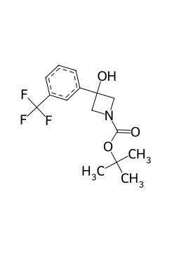 CC(C)(C)OC(=O)N1CC(O)(c2cccc(C(F)(F)F)c2)C1